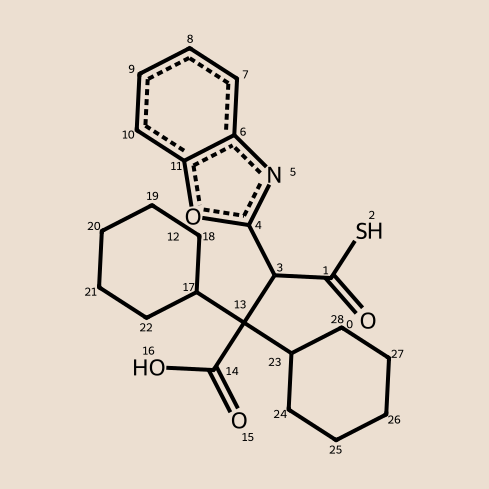 O=C(S)C(c1nc2ccccc2o1)C(C(=O)O)(C1CCCCC1)C1CCCCC1